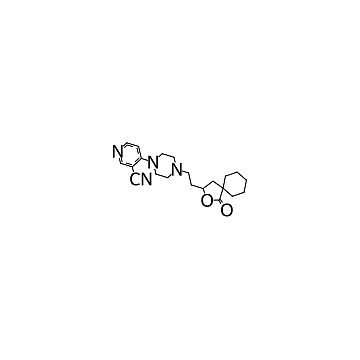 N#Cc1cnccc1N1CCN(CCC2CC3(CCCCC3)C(=O)O2)CC1